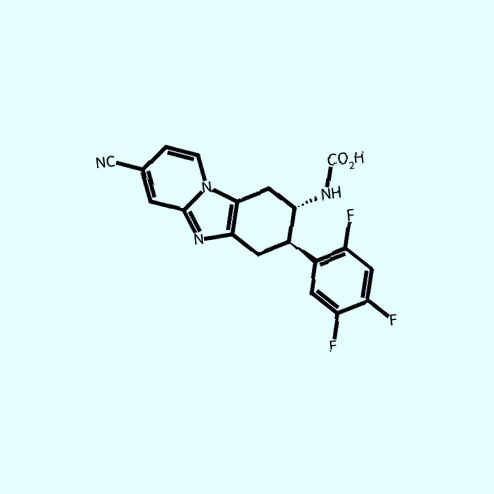 N#Cc1ccn2c3c(nc2c1)C[C@H](c1cc(F)c(F)cc1F)[C@@H](NC(=O)O)C3